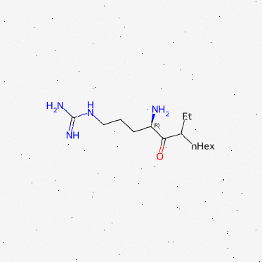 CCCCCCC(CC)C(=O)[C@H](N)CCCNC(=N)N